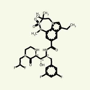 CCc1cn2c3c(cc(C(=O)N[C@@H](Cc4cc(F)cc(F)c4)[C@H](O)[C@@H]4NCCN(CC(F)F)C4=O)cc13)N(C)S(=O)(=O)C(C)(C)C2